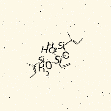 C=C[Si](O)(O[SiH2]C(C)=CC)O[SiH2]C(C)=CC